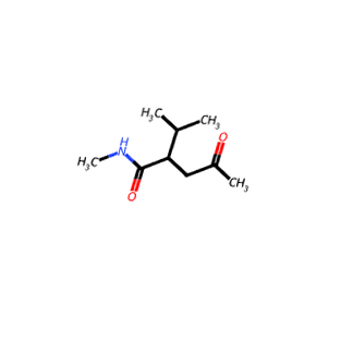 CNC(=O)C(CC(C)=O)C(C)C